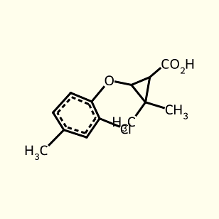 Cc1ccc(OC2C(C(=O)O)C2(C)C)c(Cl)c1